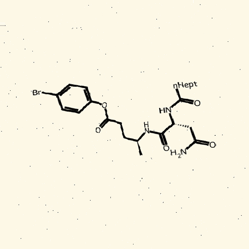 CCCCCCCC(=O)N[C@H](CC(N)=O)C(=O)N[C@@H](C)CCC(=O)Oc1ccc(Br)cc1